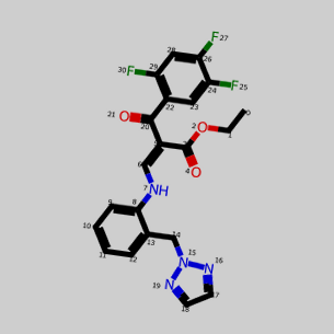 CCOC(=O)C(=CNc1ccccc1Cn1nccn1)C(=O)c1cc(F)c(F)cc1F